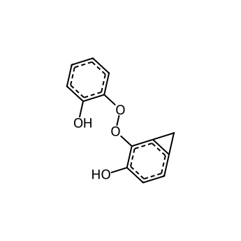 Oc1ccccc1OOc1c(O)ccc2c1C2